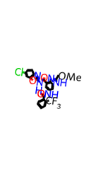 COCc1nc2c(C(=O)Nc3nc4ccc(Cl)cc4o3)cc(NC(=O)c3ccccc3C(F)(F)F)cc2[nH]1